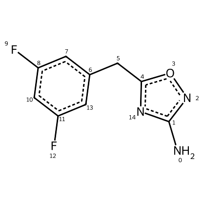 Nc1noc(Cc2cc(F)cc(F)c2)n1